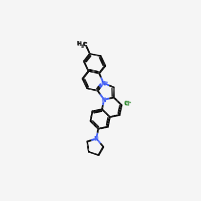 Cc1ccc2c(ccc3n4c(ccc5cc(N6CCCC6)ccc54)c[n+]23)c1.[Cl-]